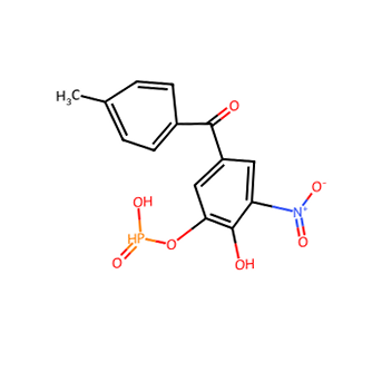 Cc1ccc(C(=O)c2cc(O[PH](=O)O)c(O)c([N+](=O)[O-])c2)cc1